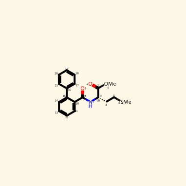 COC(=O)[C@H](CCSC)NC(=O)c1ccccc1-c1ccccc1